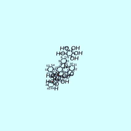 Oc1c(O)c(O)c(-c2ccc3c4ccc(-c5c(O)c(O)c(O)c(O)c5O)cc4n(-c4cccc5oc6ccc(-c7nc(C8=CC=CCC8)nc(-c8ccccc8)n7)cc6c45)c3c2)c(O)c1O